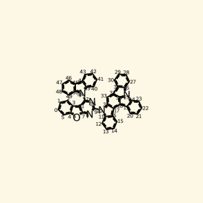 c1ccc2c(c1)oc1nc(-n3c4ccccc4c4c5c6ccccc6n6c7ccccc7c(cc43)c56)nc(-n3c4ccccc4c4ccccc43)c12